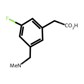 CNCc1cc(F)cc(CC(=O)O)c1